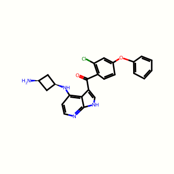 N[C@H]1C[C@@H](Nc2ccnc3[nH]cc(C(=O)c4ccc(Oc5ccccc5)cc4Cl)c23)C1